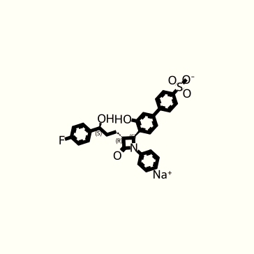 O=C1[C@H](CC[C@H](O)c2ccc(F)cc2)[C@@H](c2ccc(-c3ccc(S(=O)(=O)[O-])cc3)cc2O)N1c1ccccc1.[Na+]